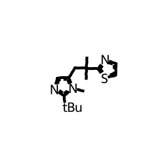 Cn1c(CC(C)(C)c2nccs2)cnc1C(C)(C)C